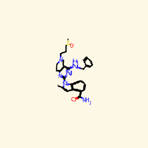 Cc1cc2c(C(N)=O)cccc2n1-c1nc2c(c(NCc3ccccc3)n1)CN(CCC[S+](C)[O-])CC2